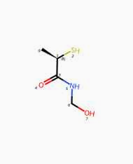 C[C@@H](S)C(=O)NCO